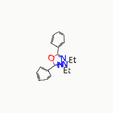 CCNCC.c1ccc(-c2nnc(-c3ccccc3)o2)cc1